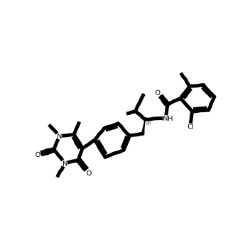 Cc1cccc(Cl)c1C(=O)N[C@@H](Cc1ccc(-c2c(C)n(C)c(=O)n(C)c2=O)cc1)C(C)C